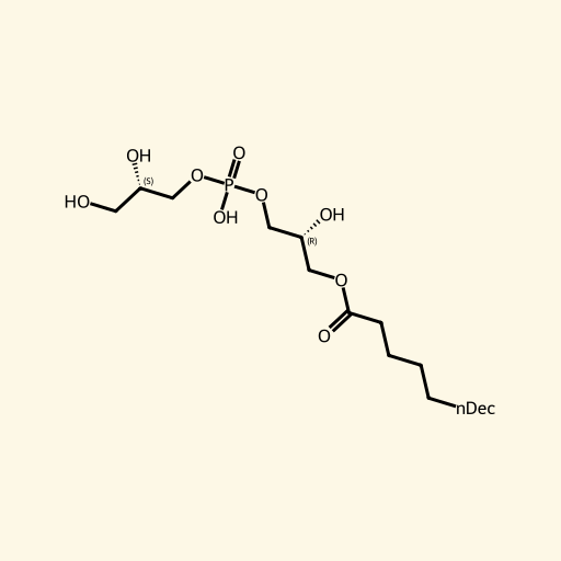 CCCCCCCCCCCCCCC(=O)OC[C@@H](O)COP(=O)(O)OC[C@@H](O)CO